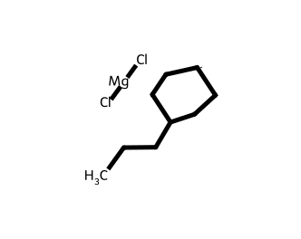 CCCC1CC[CH]CC1.[Cl][Mg][Cl]